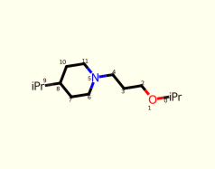 CC(C)OCCCN1CCC(C(C)C)CC1